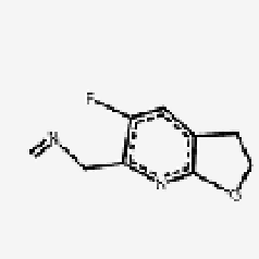 C=NCc1nc2c(cc1F)CCO2